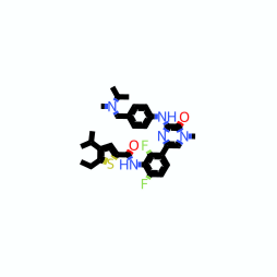 CCc1sc(C(=O)Nc2c(F)ccc(-c3cn(C)c(=O)c(Nc4ccc(CN(C)C(C)C)cc4)n3)c2F)cc1C(C)C